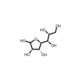 OC[C@H](O)[C@@H](O)[C@@H]1OC(O)[C@H](O)[C@H]1O